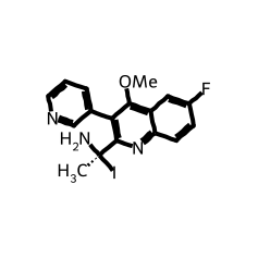 COc1c(-c2cccnc2)c([C@](C)(N)I)nc2ccc(F)cc12